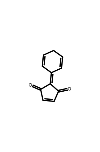 O=C1C=CC(=O)C1=C1C=CCC=C1